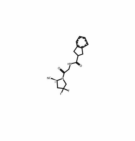 N#C[C@@H]1CC(F)(F)CN1C(=O)CNC(=O)C1Cc2ccccc2C1